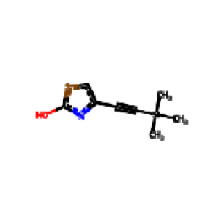 C[Si](C)(C)C#Cc1csc(O)n1